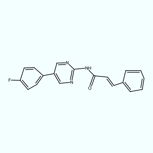 O=C(/C=C/c1ccccc1)Nc1ncc(-c2ccc(F)cc2)cn1